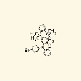 CC1(C)c2ccccc2C(C)(C)c2cc3c(cc21)Oc1ccccc1N3c1ccc(Br)cc1